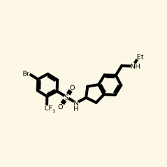 CCNCc1ccc2c(c1)CC(NS(=O)(=O)c1ccc(Br)cc1C(F)(F)F)C2